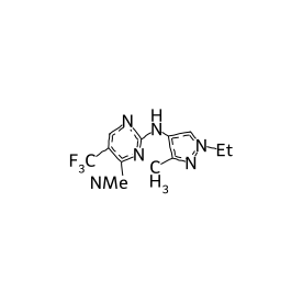 CCn1cc(Nc2ncc(C(F)(F)F)c(NC)n2)c(C)n1